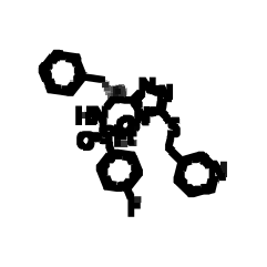 CCn1c(SCc2cccnc2)nnc1[C@@H](Cc1ccccc1)NS(=O)(=O)c1ccc(F)cc1